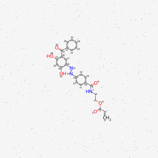 C=CC(=O)OCCNC(=O)c1ccc(/N=N/c2cc(C(=O)c3ccccc3)c(O)cc2O)cc1